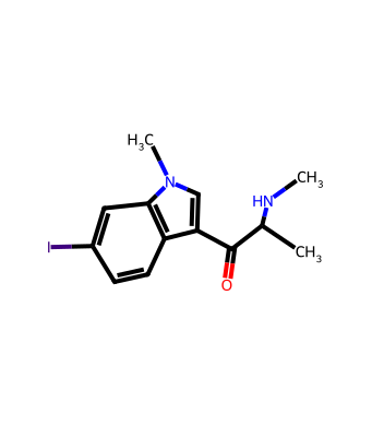 CNC(C)C(=O)c1cn(C)c2cc(I)ccc12